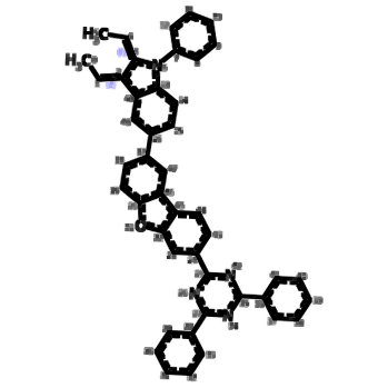 C/C=c1\c(=C/C)n(-c2ccccc2)c2ccc(-c3ccc4oc5cc(-c6nc(-c7ccccc7)nc(-c7ccccc7)n6)ccc5c4c3)cc12